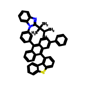 BC(B)C(B)(B)c1nc2ccccc2n1-c1cccc(-c2c3ccccc3c(-c3cccc4sc5ccccc5c34)c3cc(-c4ccccc4)ccc23)c1